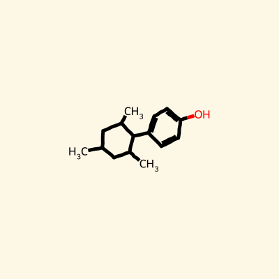 CC1CC(C)C(c2ccc(O)cc2)C(C)C1